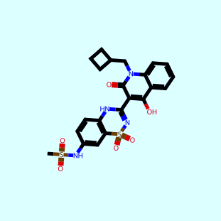 CS(=O)(=O)Nc1ccc2c(c1)S(=O)(=O)N=C(c1c(O)c3ccccc3n(CC3CCC3)c1=O)N2